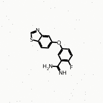 N=C(N)c1cc(Oc2ccc3scnc3c2)ccc1F